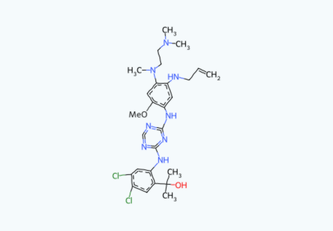 C=CCNc1cc(Nc2ncnc(Nc3cc(Cl)c(Cl)cc3C(C)(C)O)n2)c(OC)cc1N(C)CCN(C)C